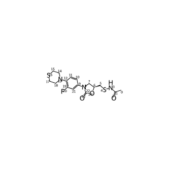 CC(=O)NSC[C@@H]1CN(c2ccc(N3CCSCC3)c(F)c2)C(=O)O1